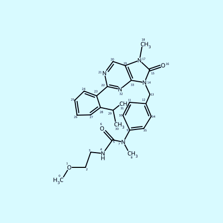 COCCNC(=O)N(C)c1ccc(Cn2c(=O)n(C)c3cnc(-c4ccccc4C(C)C)nc32)cc1